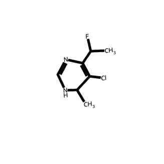 CC(F)C1=C(Cl)C(C)NC=N1